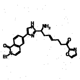 CCn1ccc2cc(-c3c[nH]c(C(N)CC=CCCC(=O)c4ncco4)n3)ccc2c1=O